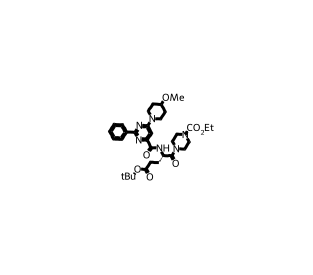 CCOC(=O)N1CCN(C(=O)[C@H](CCC(=O)OC(C)(C)C)NC(=O)c2cc(N3CCC(OC)CC3)nc(-c3ccccc3)n2)CC1